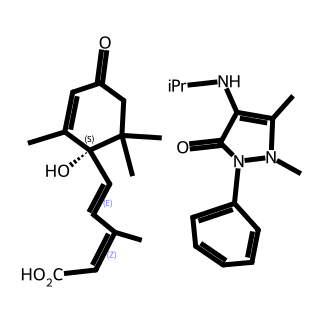 CC1=CC(=O)CC(C)(C)[C@@]1(O)/C=C/C(C)=C\C(=O)O.Cc1c(NC(C)C)c(=O)n(-c2ccccc2)n1C